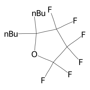 CCCCC1(CCCC)OC(F)(F)C(F)(F)C1(F)F